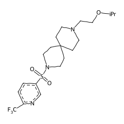 CC(C)OCCN1CCC2(CC1)CCN(S(=O)(=O)c1ccc(C(F)(F)F)nc1)CC2